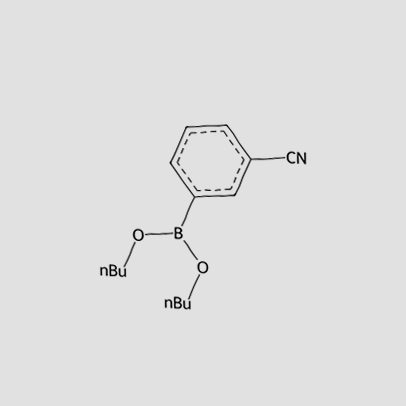 CCCCOB(OCCCC)c1cccc(C#N)c1